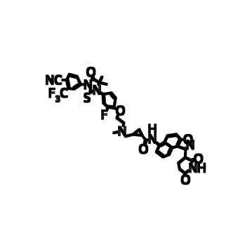 CN(CCOc1ccc(N2C(=S)N(c3ccc(C#N)c(C(F)(F)F)c3)C(=O)C2(C)C)cc1F)CC1C[C@H]1C(=O)Nc1cccc2c1ccc1onc(C3CCC(=O)NC3=O)c12